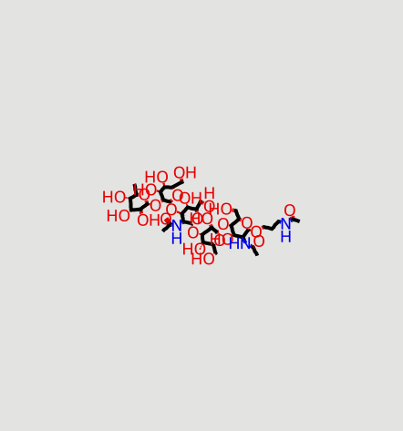 CC(=O)NCCCO[C@@H]1OC(CO)[C@@H](O[C@@H]2OC(CO)[C@H](O)[C@H](O[C@@H]3OC(CO)[C@@H](O)[C@H](O[C@@H]4OC(CO)[C@H](O)[C@H](O)C4O[C@@H]4OC(C)[C@@H](O)[C@H](O)C4O)C3NC(C)=O)C2O)[C@H](O)C1NC(C)=O